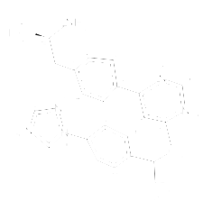 N[C@@H](Cc1ccc(-c2cc(OC(c3ccc(-n4cncn4)cc3)C(F)(F)F)ncn2)cc1)C(=O)O